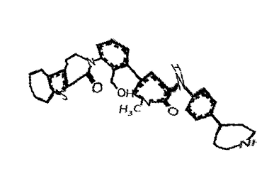 Cn1cc(-c2cccc(N3CCc4c(sc5c4CCCC5)C3=O)c2CO)cc(Nc2ccc(C3CCNCC3)cc2)c1=O